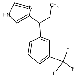 CCC(c1cccc(C(F)(F)F)c1)c1c[nH]cn1